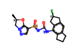 C[C@@H]1Cn2ncc([SH](=O)=NC(=O)Nc3c4c(cc5c3C[C@@H](F)C5)CCC4)c2O1